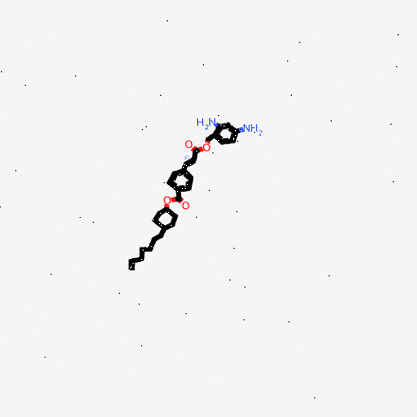 C=CCCCCCC1CCC(OC(=O)c2ccc(/C=C/C(=O)OCc3ccc(N)cc3N)cc2)CC1